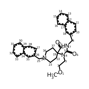 COCCN(C(=O)NCc1ccc2ccccc2c1)C1(C=O)CCN(Cc2ccc3ccccc3c2)CC1